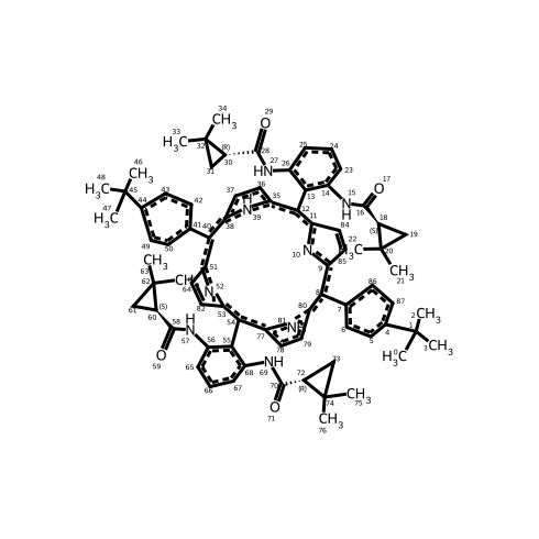 CC(C)(C)c1ccc(-c2c3nc(c(-c4c(NC(=O)[C@H]5CC5(C)C)cccc4NC(=O)[C@@H]4CC4(C)C)c4ccc([nH]4)c(-c4ccc(C(C)(C)C)cc4)c4nc(c(-c5c(NC(=O)[C@H]6CC6(C)C)cccc5NC(=O)[C@@H]5CC5(C)C)c5ccc2[nH]5)C=C4)C=C3)cc1